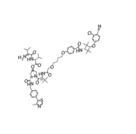 Cc1ncsc1-c1ccc(CNC(=O)[C@@H]2C[C@@H](OC(=O)C(NC(=O)[C@@H](N)C(C)C)C(C)C)CN2C(=O)[C@@H](NC(=O)COCCCCOc2ccc(C(=O)N[C@H]3C(C)(C)[C@H](Oc4ccc(C#N)c(Cl)c4)C3(C)C)cc2)C(C)(C)C)cc1